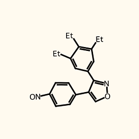 CCc1cc(-c2nocc2-c2ccc(N=O)cc2)cc(CC)c1CC